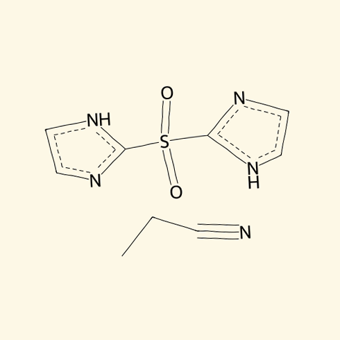 CCC#N.O=S(=O)(c1ncc[nH]1)c1ncc[nH]1